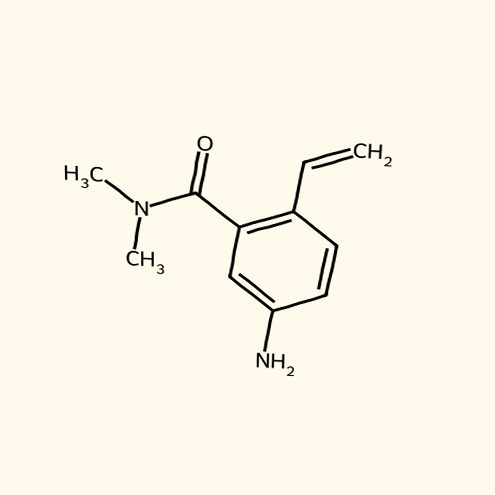 C=Cc1ccc(N)cc1C(=O)N(C)C